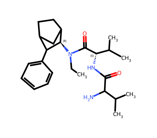 CCN(C(=O)[C@@H](NC(=O)C(N)C(C)C)C(C)C)[C@@H]1C2CCC(C2)C1c1ccccc1